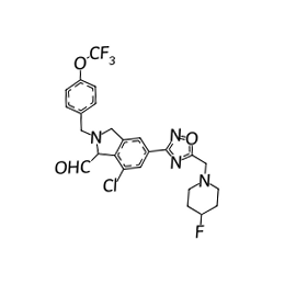 O=CC1c2c(Cl)cc(-c3noc(CN4CCC(F)CC4)n3)cc2CN1Cc1ccc(OC(F)(F)F)cc1